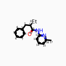 CCC(Cc1ccccc1)C(=O)Nc1cccc(C)n1